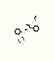 C=CCN1Sc2cnc(Nc3ccccc3N3CCN(C)CC3)nc2-c2ccccc21